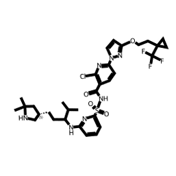 CC(C)C(CC[C@@H]1CNC(C)(C)C1)Nc1cccc(S(=O)(=O)NC(=O)c2ccc(-n3ccc(OCCC4(C(F)(F)F)CC4)n3)nc2Cl)n1